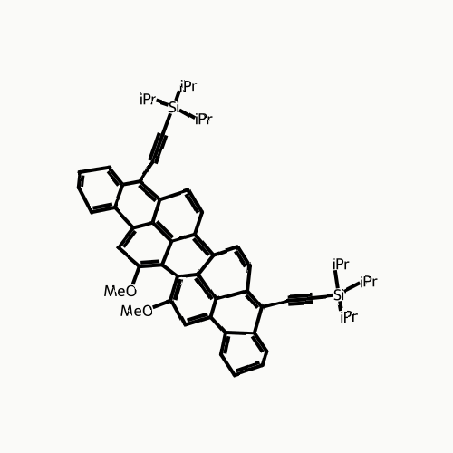 COc1cc2c3ccccc3c(C#C[Si](C(C)C)(C(C)C)C(C)C)c3ccc4c5ccc6c(C#C[Si](C(C)C)(C(C)C)C(C)C)c7ccccc7c7cc(OC)c(c1c4c32)c5c67